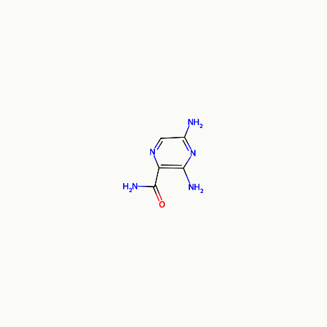 NC(=O)c1ncc(N)nc1N